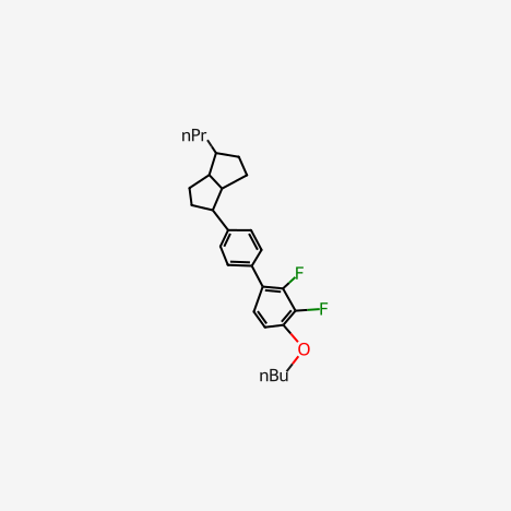 CCCCOc1ccc(-c2ccc(C3CCC4C(CCC)CCC34)cc2)c(F)c1F